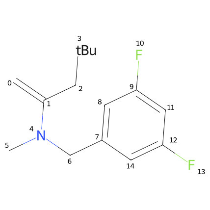 C=C(CC(C)(C)C)N(C)Cc1cc(F)cc(F)c1